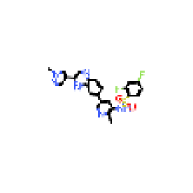 Cc1ncc(-c2ccc3ncc(-c4cnn(C)c4)nc3c2)cc1NS(=O)(=O)c1ccc(F)cc1F